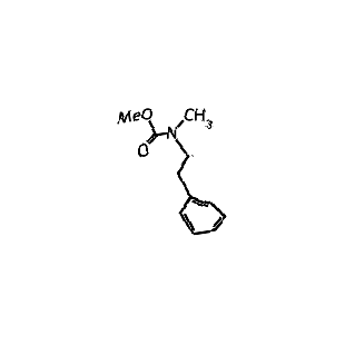 COC(=O)N(C)[CH]Cc1ccccc1